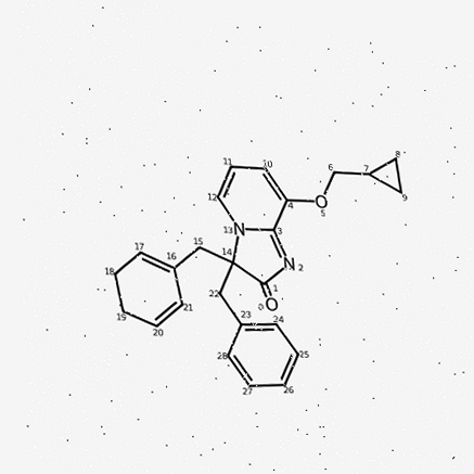 O=C1N=C2C(OCC3CC3)=CC=CN2C1(CC1=CCCC=C1)Cc1ccccc1